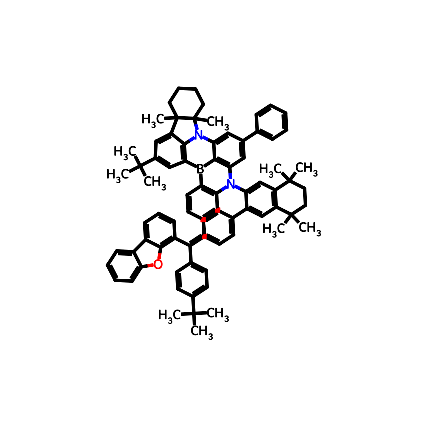 CC(C)(C)c1ccc(/C(=C/c2ccc3c(c2)N(c2cc4c(cc2-c2ccccc2)C(C)(C)CCC4(C)C)c2cc(-c4ccccc4)cc4c2B3c2cc(C(C)(C)C)cc3c2N4C2(C)CCCCC32C)c2cccc3c2oc2ccccc23)cc1